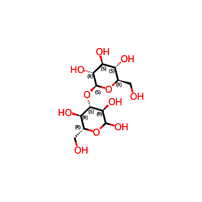 OC[C@H]1O[C@@H](O[C@H]2[C@H](O)[C@@H](CO)OC(O)[C@@H]2O)[C@H](O)[C@@H](O)[C@@H]1O